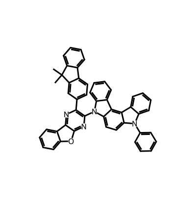 CC1(C)c2ccccc2-c2ccc(-c3nc4c(nc3-n3c5ccccc5c5c6c7ccccc7n(-c7ccccc7)c6ccc53)oc3ccccc34)cc21